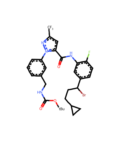 CC(C)(C)OC(=O)NCc1cccc(-n2nc(C(F)(F)F)cc2C(=O)Nc2cc(C(Br)CCC3CC3)ccc2F)c1